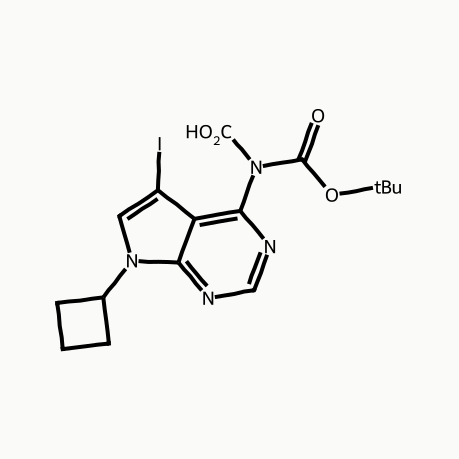 CC(C)(C)OC(=O)N(C(=O)O)c1ncnc2c1c(I)cn2C1CCC1